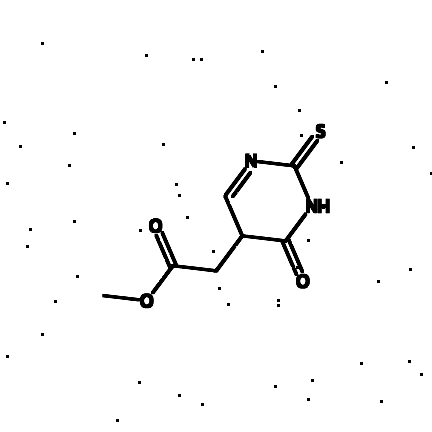 COC(=O)CC1C=NC(=S)NC1=O